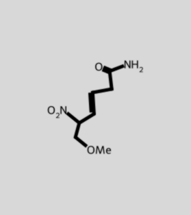 COCC(C=CCC(N)=O)[N+](=O)[O-]